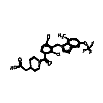 Cc1cc(OC(F)(F)F)cc2ccn(Cc3c(Cl)ccc(C(=O)N4CCC(CC(=O)O)CC4)c3Cl)c12